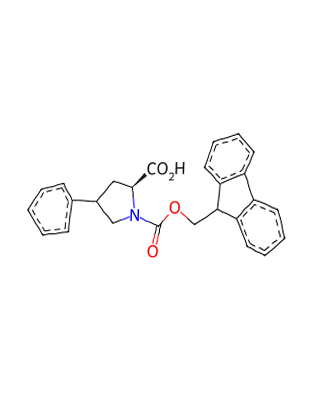 O=C(O)[C@@H]1CC(c2ccccc2)CN1C(=O)OCC1c2ccccc2-c2ccccc21